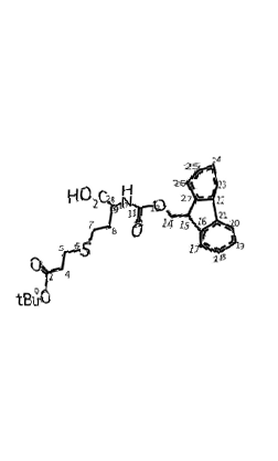 CC(C)(C)OC(=O)CCSCC[C@H](NC(=O)OCC1c2ccccc2-c2ccccc21)C(=O)O